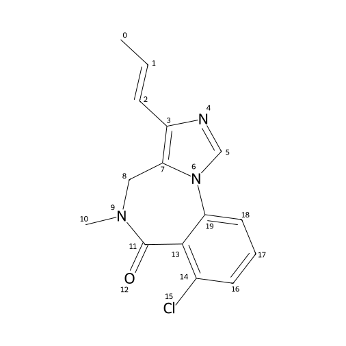 C/C=C/c1ncn2c1CN(C)C(=O)c1c(Cl)cccc1-2